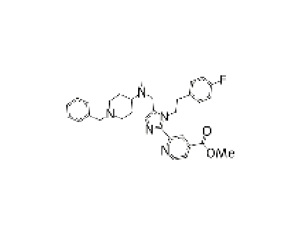 COC(=O)c1ccnc(-c2ncc(CN(C)C3CCN(Cc4ccccc4)CC3)n2CCc2ccc(F)cc2)c1